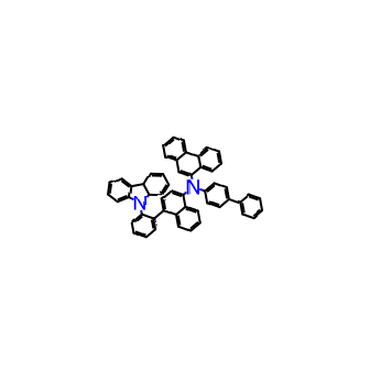 C1=CC2c3ccccc3N(c3ccccc3-c3ccc(N(c4ccc(-c5ccccc5)cc4)c4cc5ccccc5c5ccccc45)c4ccccc34)C2C=C1